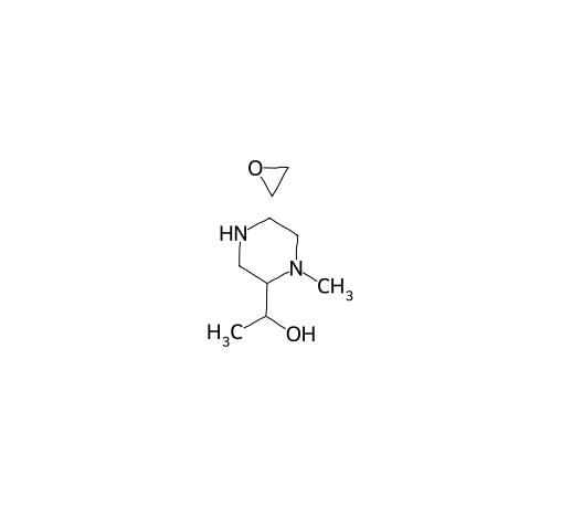 C1CO1.CC(O)C1CNCCN1C